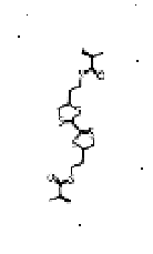 C=C(C)C(=O)SCCC1CSC(C2SCC(CCSC(=O)C(=C)C)S2)S1